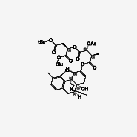 CC(=O)O[C@@H](C(=O)O[C@H](CC(=O)OC(C)(C)C)C(=O)OC(C)(C)C)[C@@H](C)C(=O)OC1=CC[C@@]2(O)[C@H]3Cc4ccc(C)c5c4[C@@]2(CCN3C)[C@H]1O5